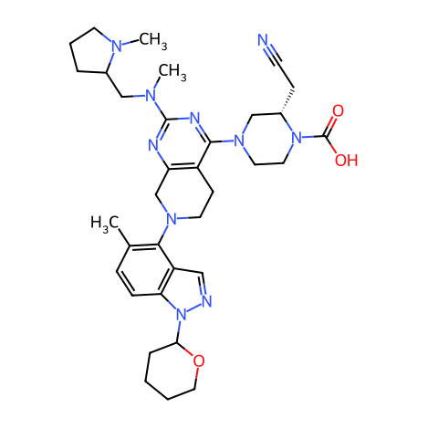 Cc1ccc2c(cnn2C2CCCCO2)c1N1CCc2c(nc(N(C)CC3CCCN3C)nc2N2CCN(C(=O)O)[C@@H](CC#N)C2)C1